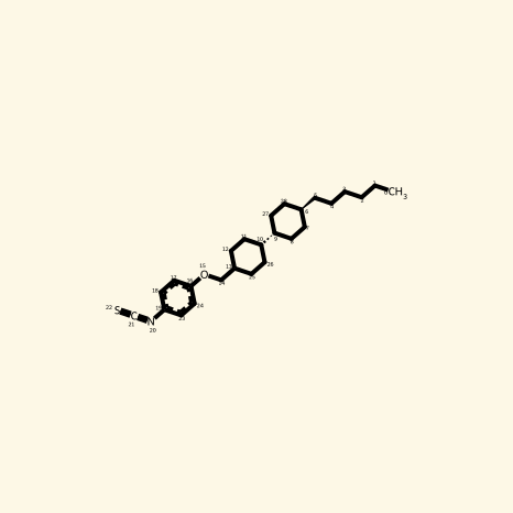 CCCCCC[C@H]1CC[C@H](C2CCC(COc3ccc(N=C=S)cc3)CC2)CC1